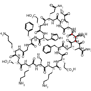 CC(C)C[C@H](NC(=O)[C@H](CCC(N)=O)NC(=O)[C@H](Cc1ccccc1)NC(=O)[C@H](CCC(=O)O)NC(=O)[C@H](CCCCN)NC(=O)[C@H](CO)NC(=O)[C@H](CCCCN)NC(=O)[C@H](CC(=O)O)NC(=O)[C@H](CCCCN)NC(=O)CNC(=O)[C@H](Cc1ccccc1)NC(=O)[C@H](Cc1c[nH]cn1)NC(=O)[C@H](CCC(=O)O)NC(=O)[C@H](CCC(N)=O)NC(=O)[C@H](C)NC(=O)[C@H](CCC(N)=O)NC(=O)[C@@H](N)CC(N)=O)C(=O)O